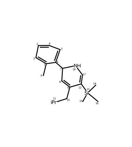 Cc1ccccc1C1C=C(CC(C)C)C([Si](C)(C)C)=CN1